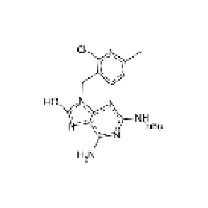 CCCCNc1nc(N)c2nc(O)n(Cc3ccc(C)nc3Cl)c2n1